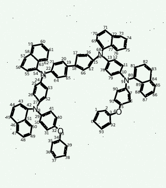 c1ccc(Oc2ccc(N(c3ccc(N(c4ccc(-c5ccc(N(c6ccc(N(c7ccc(Oc8ccccc8)cc7)c7cccc8ccccc78)cc6)c6cccc7ccccc67)cc5)cc4)c4cccc5ccccc45)cc3)c3cccc4ccccc34)cc2)cc1